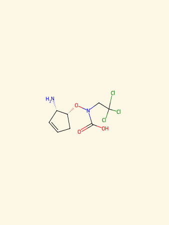 N[C@H]1C=CC[C@H]1ON(CC(Cl)(Cl)Cl)C(=O)O